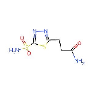 NC(=O)CCc1nnc(S(N)(=O)=O)s1